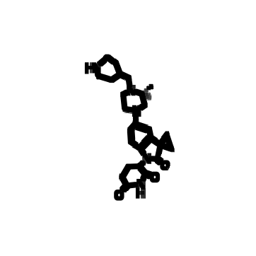 C[C@@H]1CN(c2ccc3c(c2)C2(CC2)C(=O)N3C2CCC(=O)NC2=O)CCN1CC1CCNCC1